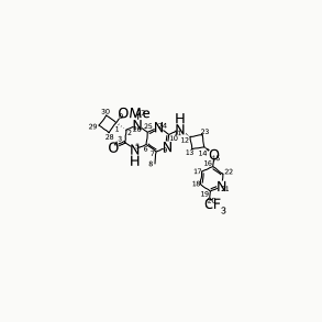 COC1([C@H]2C(=O)Nc3c(C)nc(N[C@H]4C[C@H](Oc5ccc(C(F)(F)F)nc5)C4)nc3N2C)CCC1